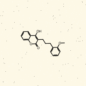 COc1ccccc1CCCc1c(O)c2ccccc2oc1=O